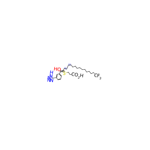 O=C(O)CCS[C@H](/C=C/C=C\CCCCCCCCCCC(F)(F)F)[C@@H](O)c1cccc(-c2nnn[nH]2)c1